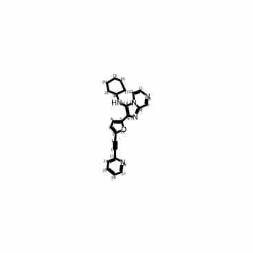 C(#Cc1ccc(-c2nc3cnccn3c2NC2CCCCC2)o1)c1ccccn1